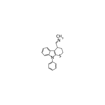 CN=CC1CCSc2c1c1ccccc1n2-c1ccccc1